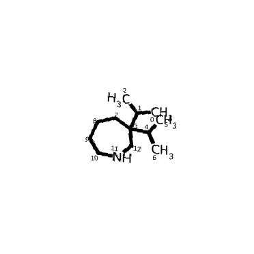 CC(C)C1(C(C)C)CCCCNC1